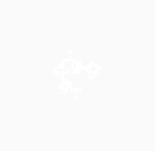 CC(C)n1cc(C2CCC(CC(C)n3cc([C@@H]4CCCN4)cn3)N2)cn1